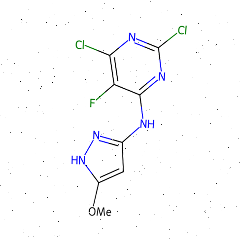 COc1cc(Nc2nc(Cl)nc(Cl)c2F)n[nH]1